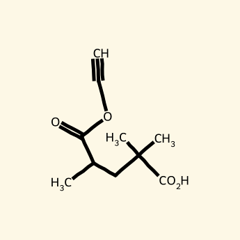 C#COC(=O)C(C)CC(C)(C)C(=O)O